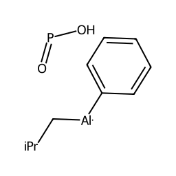 CC(C)[CH2][Al][c]1ccccc1.O=PO